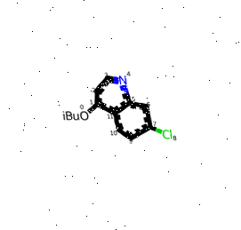 CC(C)COc1ccnc2cc(Cl)ccc12